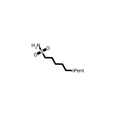 [CH2]CCCCCCCCCS(N)(=O)=O